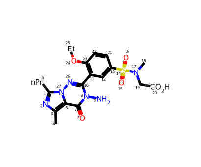 CCCc1nc(C)c2c(=O)n(N)c(-c3cc(S(=O)(=O)N(C)CC(=O)O)ccc3OCC)nn12